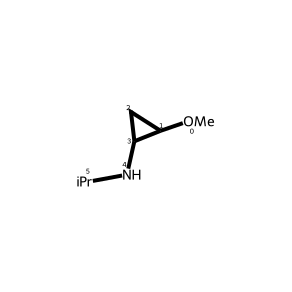 COC1CC1NC(C)C